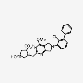 COc1nc(CN2C[C@@H](O)CC2C(=O)O)nc2c1CN(c1cccc(-c3ccccc3)c1Cl)C2